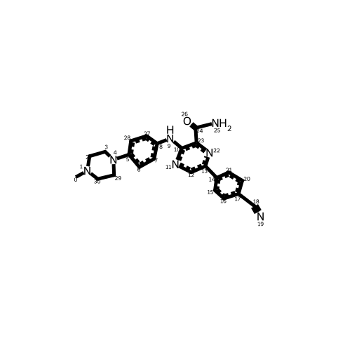 CN1CCN(c2ccc(Nc3ncc(-c4ccc(C#N)cc4)nc3C(N)=O)cc2)CC1